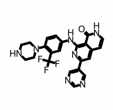 O=c1[nH]ccc2cc(-c3cncnc3)nc(Nc3ccc(N4CCNCC4)c(C(F)(F)F)c3)c12